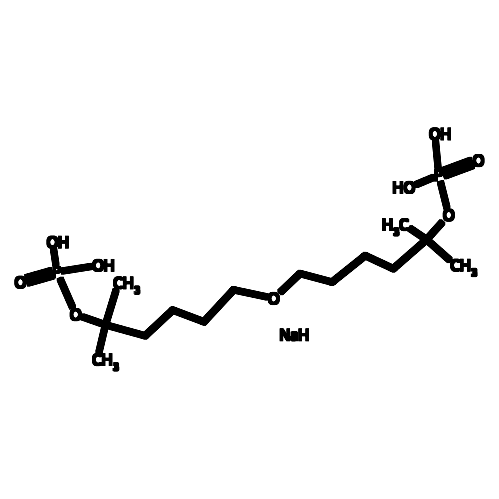 CC(C)(CCCCOCCCCC(C)(C)OP(=O)(O)O)OP(=O)(O)O.[NaH]